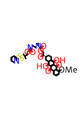 COc1cccc2c1C(=O)c1c(O)c3c(c(O)c1C2=O)C[C@@H](C(=O)COC(=O)N(C)CCN(C)C(=O)OCC(C)(C)SSc1ccccn1)CC3